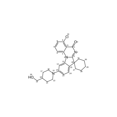 O=c1nc2n(c3cccc(Cl)c13)-c1cc(N3CCC(CO)CC3)ccc1C21CCCCC1